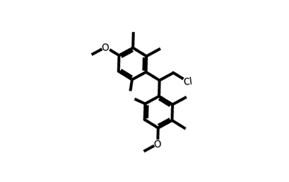 COc1cc(C)c(C(CCl)c2c(C)cc(OC)c(C)c2C)c(C)c1C